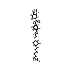 CCCCCCC[C@H]1CC[C@H](CCCOc2ccc(OC(=O)[C@H]3CC[C@H](C)CC3)cc2)CC1